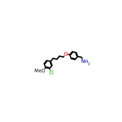 COc1ccc(CCCCOc2ccc(CN)cc2)cc1Cl